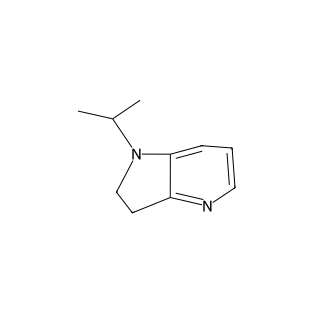 CC(C)N1CCc2ncccc21